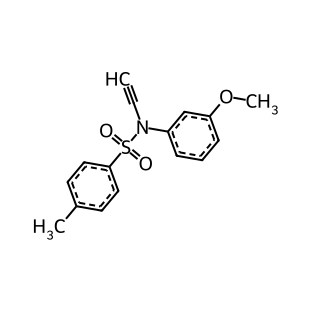 C#CN(c1cccc(OC)c1)S(=O)(=O)c1ccc(C)cc1